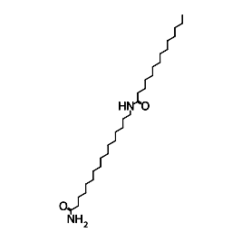 CCCCCCCCCCCCCC(=O)NCCCCCCCCCCCCCCCC(N)=O